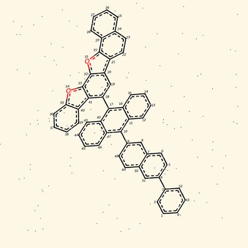 c1ccc(-c2ccc3cc(-c4c5ccccc5c(-c5cc6c7ccc8ccccc8c7oc6c6oc7ccccc7c56)c5ccccc45)ccc3c2)cc1